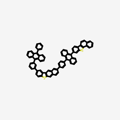 c1ccc(-c2c3ccccc3c(-c3cccc(-c4ccc5sc6cc7ccc(-c8ccc(-c9c%10ccccc%10c(-c%10ccc%11c(c%10)sc%10c%12ccccc%12ccc%11%10)c%10ccccc9%10)cc8)cc7cc6c5c4)c3)c3ccccc23)cc1